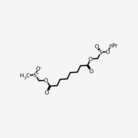 CCCOS(=O)COC(=O)CCCCCCC(=O)OC[S+](C)[O-]